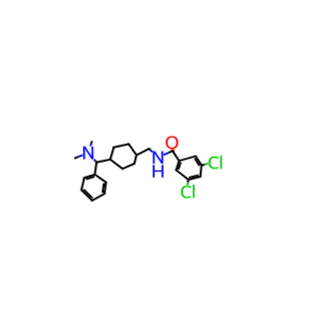 CN(C)C(c1ccccc1)C1CCC(CNC(=O)c2cc(Cl)cc(Cl)c2)CC1